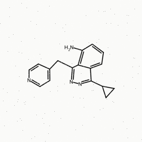 Nc1cccc2c(C3CC3)nnc(Cc3ccncc3)c12